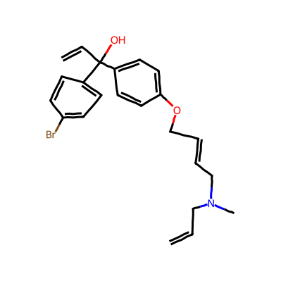 C=CCN(C)C/C=C/COc1ccc(C(O)(C=C)c2ccc(Br)cc2)cc1